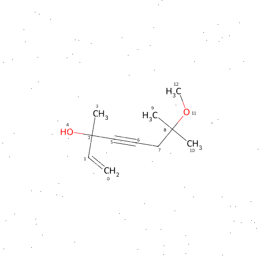 C=CC(C)(O)C#CCC(C)(C)OC